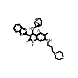 O=c1[nH]c2cc(NCCCN3CCOCC3)c(F)cc2c(N[C@H]2CN3CCC2CC3)c1-c1nc2ccccc2[nH]1